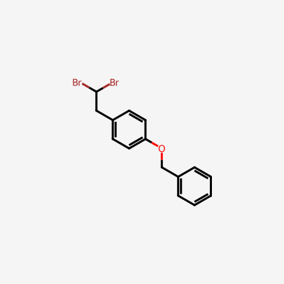 BrC(Br)Cc1ccc(OCc2ccccc2)cc1